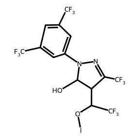 OC1C(C(OI)C(F)(F)F)C(C(F)(F)F)=NN1c1cc(C(F)(F)F)cc(C(F)(F)F)c1